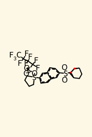 O=S(=O)(c1ccc2cc(S3(OS(=O)(=O)C(F)(F)C(F)(F)C(F)(F)C(F)(F)F)CCCC3)ccc2c1)C1CC2CCC1CC2